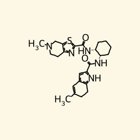 CC1=Cc2cc(C(=O)N[C@H]3CCCC[C@H]3NC(=O)c3nc4c(s3)CN(C)CC4)[nH]c2CC1